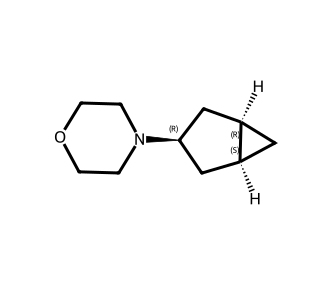 C1CN([C@H]2C[C@H]3C[C@H]3C2)CCO1